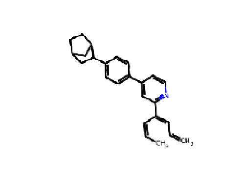 C=C/C=C(\C=C/C)c1cc(-c2ccc(C3CC4CCC3C4)cc2)ccn1